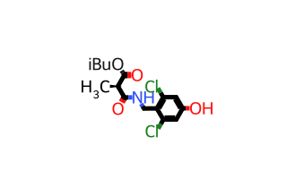 CC(C)COC(=O)[C@H](C)C(=O)NCc1c(Cl)cc(O)cc1Cl